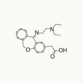 CCN(CC)CC/N=C1/c2ccccc2COc2ccc(CC(=O)O)cc21